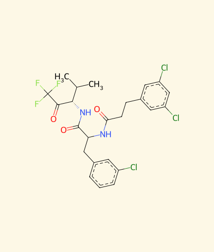 CC(C)[C@H](NC(=O)C(Cc1cccc(Cl)c1)NC(=O)CCc1cc(Cl)cc(Cl)c1)C(=O)C(F)(F)F